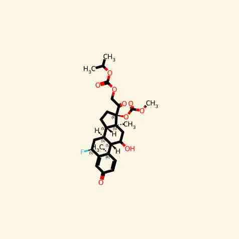 COC(=O)O[C@]1(C(=O)COC(=O)OC(C)C)CC[C@H]2[C@@H]3C[C@H](F)C4=CC(=O)C=C[C@]4(C)[C@H]3C(O)C[C@@]21C